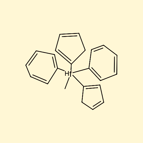 [CH3][Hf]([C]1=CC=CC1)([C]1=CC=CC1)([c]1ccccc1)[c]1ccccc1